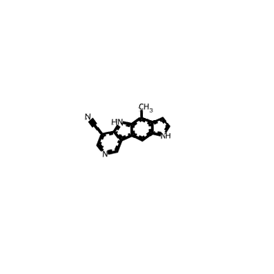 Cc1c2cc[nH]c2cc2c1[nH]c1c(C#N)cncc12